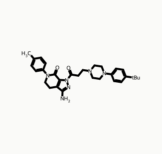 Cc1ccc(N2CCc3c(N)nn(C(=O)CCN4CCN(c5ccc(C(C)(C)C)cc5)CC4)c3C2=O)cc1